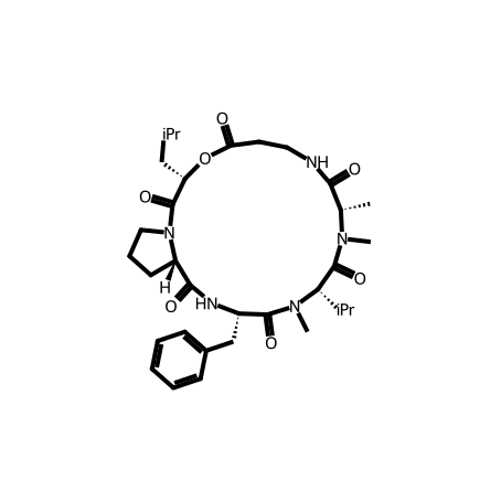 CC(C)C[C@@H]1OC(=O)CCNC(=O)[C@H](C)N(C)C(=O)[C@H](C(C)C)N(C)C(=O)[C@H](Cc2ccccc2)NC(=O)[C@@H]2CCCN2C1=O